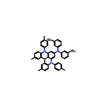 Cc1ccc(N2c3ccc(C)cc3B3c4cc(C)ccc4N(c4ccc(C)cc4)c4cc(N(c5cccc(C(C)(C)C)c5)c5cccc(C(C)(C)C)c5)cc2c43)cc1